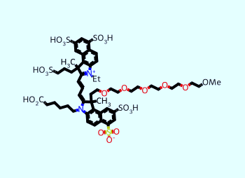 CC[N+]1=C(/C=C/C=C2/N(CCCCCC(=O)O)c3ccc4c(S(=O)(=O)[O-])cc(S(=O)(=O)O)cc4c3C2(C)CCOCCOCCOCCOCCOCCOC)C(C)(CCCS(=O)(=O)O)c2c1ccc1c(S(=O)(=O)O)cc(S(=O)(=O)O)cc21